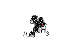 C=CC(=O)N1CCN(c2nc(=O)n(-c3ccncc3C3CC3)c3cc(-c4c(O)cccc4F)c(Cl)cc23)[C@@H](C)C1